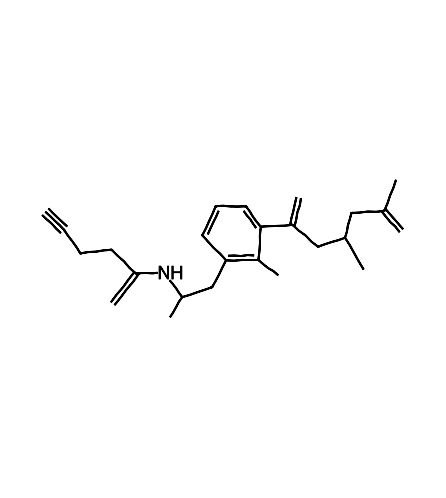 C#CCCC(=C)NC(C)Cc1cccc(C(=C)CC(C)CC(=C)C)c1C